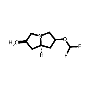 C=C1C[C@@H]2C[C@H](OC(F)F)CN2C1